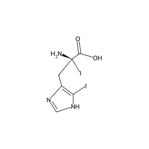 N[C@@](I)(Cc1nc[nH]c1I)C(=O)O